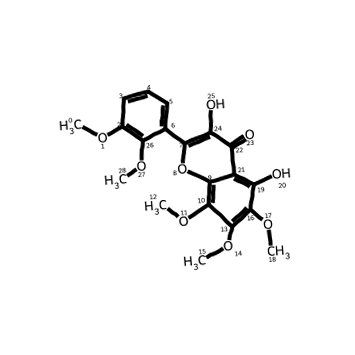 COc1cccc(-c2oc3c(OC)c(OC)c(OC)c(O)c3c(=O)c2O)c1OC